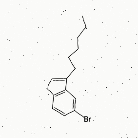 CCCCCCC1=CCc2ccc(Br)cc21